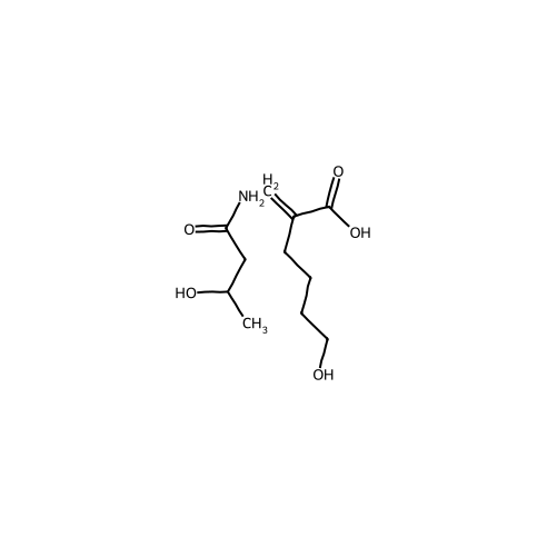 C=C(CCCCO)C(=O)O.CC(O)CC(N)=O